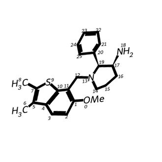 COc1ccc2c(C)c(C)sc2c1CN1CCC[C@H](N)[C@@H]1c1ccccc1